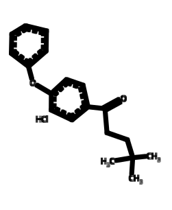 CC(C)(C)CCC(=O)c1ccc(Oc2ccccc2)cc1.Cl